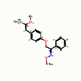 CCCCCCO/N=C(\COc1ccc(CC(OCC)C(=O)O)cc1)c1ccccc1